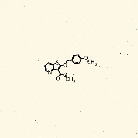 COC(=O)c1c(OCc2ccc(OC)cc2)sc2cccnc12